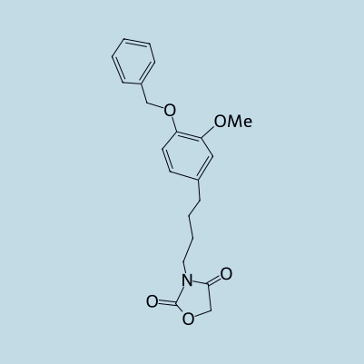 COc1cc(CCCCN2C(=O)COC2=O)ccc1OCc1ccccc1